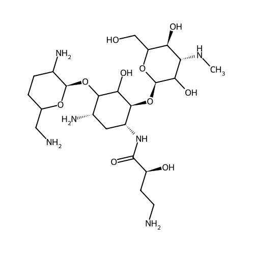 CN[C@@H]1C(O)[C@@H](O[C@@H]2C(O)C(O[C@H]3OC(CN)CCC3N)[C@@H](N)C[C@H]2NC(=O)[C@@H](O)CCN)OC(CO)[C@H]1O